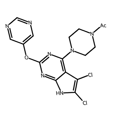 CC(=O)N1CCN(c2nc(Oc3cncnc3)nc3[nH]c(Cl)c(Cl)c23)CC1